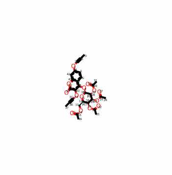 CC#COc1ccc2c(O[C@@H]3O[C@H](COC(C)=O)[C@H](OC(C)=O)[C@H](OC(C)=O)[C@H]3OC(C)=O)c(OC#CC)c(=O)oc2c1